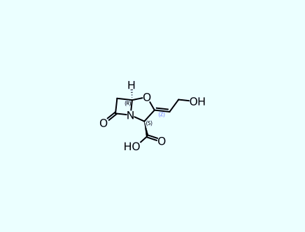 O=C(O)[C@@H]1/C(=C/CO)O[C@@H]2CC(=O)N12